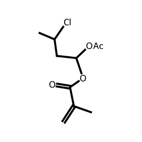 C=C(C)C(=O)OC(CC(C)Cl)OC(C)=O